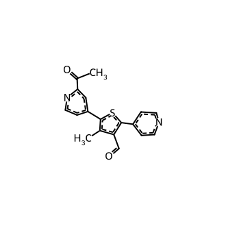 CC(=O)c1cc(-c2sc(-c3ccncc3)c(C=O)c2C)ccn1